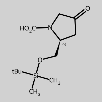 CC(C)(C)[Si](C)(C)OC[C@@H]1CC(=O)CN1C(=O)O